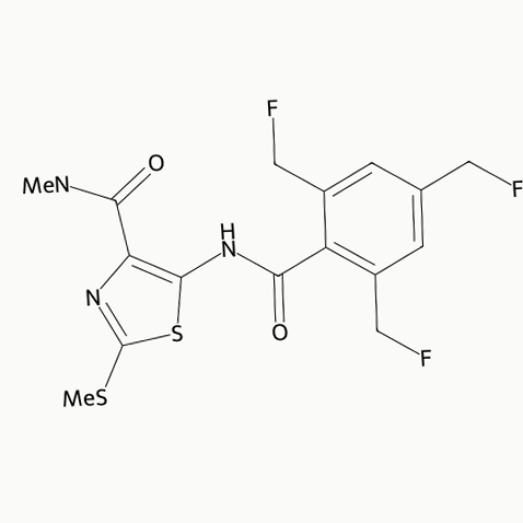 CNC(=O)c1nc(SC)sc1NC(=O)c1c(CF)cc(CF)cc1CF